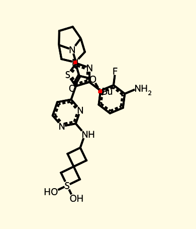 CC(C)(C)OC(=O)N1CC2CCC(C1)N2c1nc(-c2cccc(N)c2F)c(-c2ccnc(NC3CC4(C3)CS(O)(O)C4)n2)s1